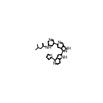 C=C(CC(C)C)Nc1cncc(-c2cc3c(-c4cc5c(-c6cccs6)nccc5[nH]4)n[nH]c3cn2)c1